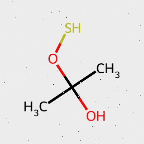 CC(C)(O)OS